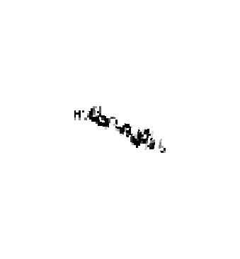 N#Cc1cnc2cc(OCC3CCC(n4ccc5c(N)ncnc54)O3)ccc2c1